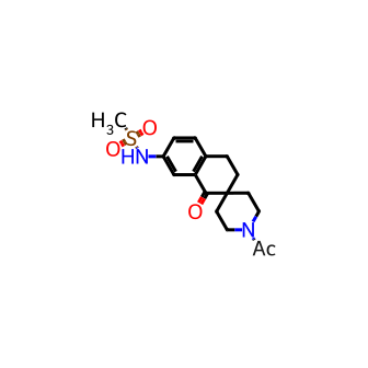 CC(=O)N1CCC2(CCc3ccc(NS(C)(=O)=O)cc3C2=O)CC1